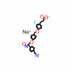 CO/N=C(\COc1ccc(COc2ccc(CCC(=O)[O-])c(F)c2)cc1)c1ccc(C#N)cc1.[Na+]